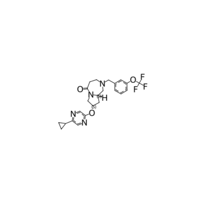 O=C1CCN(Cc2cccc(OC(F)(F)F)c2)C[C@@H]2C[C@H](Oc3cnc(C4CC4)cn3)CN12